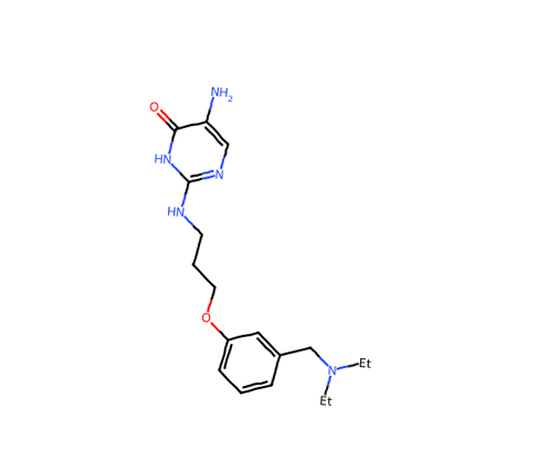 CCN(CC)Cc1cccc(OCCCNc2ncc(N)c(=O)[nH]2)c1